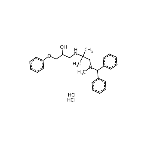 CN(CC(C)(C)NCC(O)COc1ccccc1)C(c1ccccc1)c1ccccc1.Cl.Cl